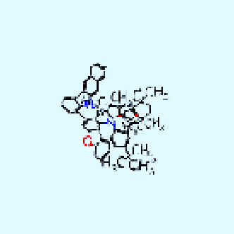 CC(C)(C)c1ccc(N2C3=C(B4c5c(cc6oc7ccccc7c6c52)-c2cccc5c6cc7ccccc7cc6n4c25)C(C)(C)c2cc4c(cc23)C(C)(C)CCC4(C)C)c(-c2ccccc2)c1